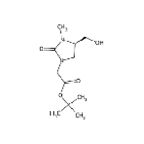 CN1C(=O)N(CC(=O)OC(C)(C)C)C[C@@H]1CO